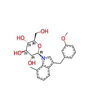 COc1cccc(Cc2cn([C@@H]3O[C@H](CO)[C@@H](O)[C@H](O)[C@H]3O)c3c(C)cccc23)c1